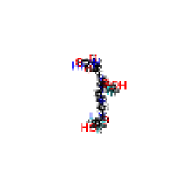 Cn1c(=O)n([C@@H]2CCC(=O)NC2=O)c2ccc(CCN3CCOC4(C3)CN(c3ccc5cn(C6CCC(CNC(=O)c7cc(F)c(O)c(F)c7F)CC6)nc5c3)C4)cc21.O=C(O)C(F)(F)F